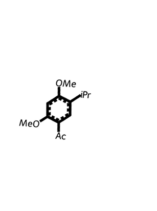 COc1cc(OC)c(C(C)C)cc1C(C)=O